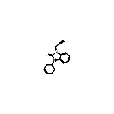 C#CCn1c(=O)n(C2CC=CCC2)c2ccccc21